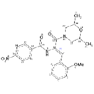 COc1ccccc1/C=C(\NC(=O)c1ccc([N+](=O)[O-])cc1)C(=O)N1CC(C)OC(C)C1